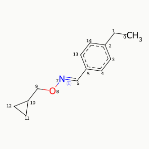 CCc1ccc(/C=N/OCC2CC2)cc1